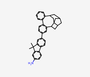 CC1(C)c2cc(N)ccc2-c2ccc(-c3ccc4c(c3)C3CC5CC6CC(CC53C6)c3ccccc3-4)cc21